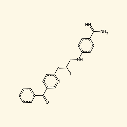 N=C(N)c1ccc(NCC(I)=Cc2ccc(C(=O)c3ccccc3)cn2)cc1